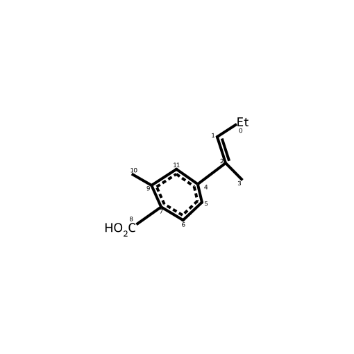 CCC=C(C)c1ccc(C(=O)O)c(C)c1